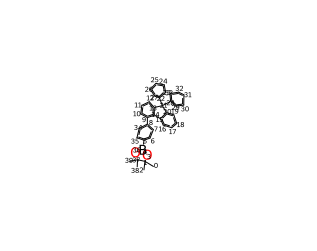 CC1(C)OB(c2ccc(-c3cccc4c3-c3ccccc3C4(c3ccccc3)c3ccccc3)cc2)OC1(C)C